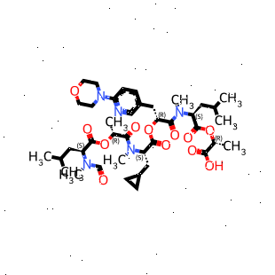 CC(C)C[C@@H](C(=O)O[C@H](C)C(=O)N(C)[C@@H](CC1CC1)C(=O)O[C@H](Cc1ccc(N2CCOCC2)nc1)C(=O)N(C)[C@@H](CC(C)C)C(=O)O[C@H](C)C(=O)O)N(C)C=O